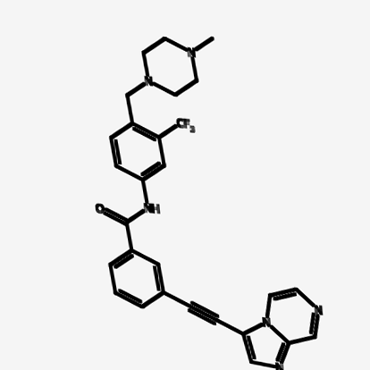 CN1CCN(Cc2ccc(NC(=O)c3cccc(C#Cc4cnc5cnccn45)c3)cc2C(F)(F)F)CC1